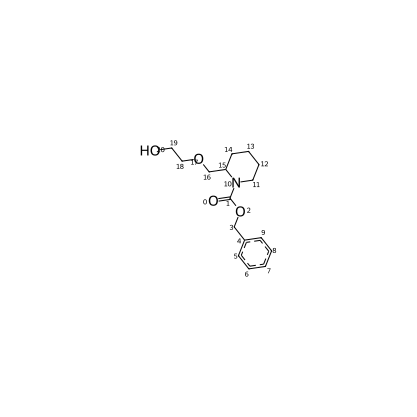 O=C(OCc1ccccc1)N1CCCCC1COCCO